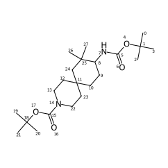 CC(C)(C)OC(=O)NC1CCC2(CCN(C(=O)OC(C)(C)C)CC2)CC1(C)C